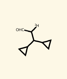 [2H]C(C=O)C(C1CC1)C1CC1